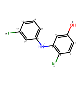 Oc1ccc(Br)c(Nc2cccc(F)c2)c1